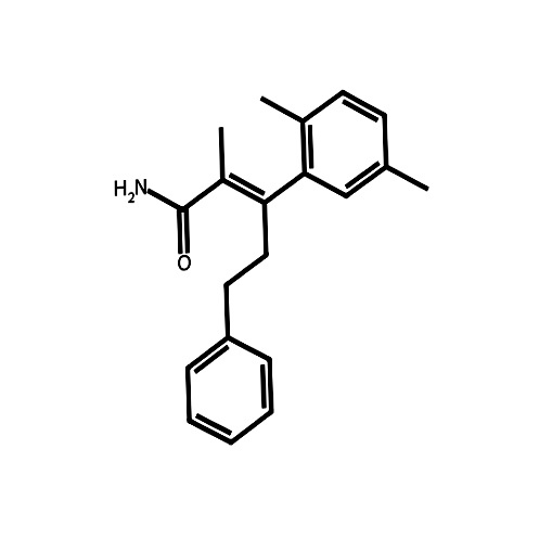 CC(C(N)=O)=C(CCc1ccccc1)c1cc(C)ccc1C